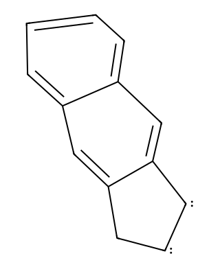 [C]1[C]c2cc3ccccc3cc2C1